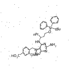 CCCC(CCO[Si](c1ccccc1)(c1ccccc1)C(C)(C)C)Nc1nc(N)nc2cnn(Cc3ccc(C(=O)O)cc3OC)c12